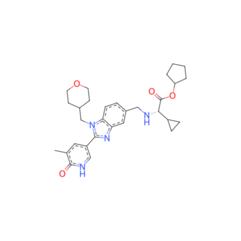 Cc1cc(-c2nc3cc(CN[C@H](C(=O)OC4CCCC4)C4CC4)ccc3n2CC2CCOCC2)c[nH]c1=O